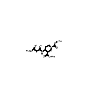 COC(=O)CC(=O)NC1CCN(C(=O)OC(C)(C)C)CC1C(=O)OC